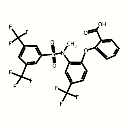 CN(c1cc(C(F)(F)F)ccc1Oc1ccccc1C(=O)O)S(=O)(=O)c1cc(C(F)(F)F)cc(C(F)(F)F)c1